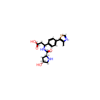 Cc1ncsc1-c1ccc(C(CC(=O)O)NC(=O)[C@@H]2C[C@@H](O)CN2)cc1